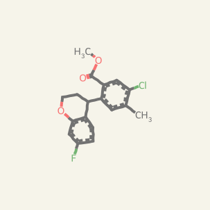 COC(=O)c1cc(Cl)c(C)cc1C1CCOc2cc(F)ccc21